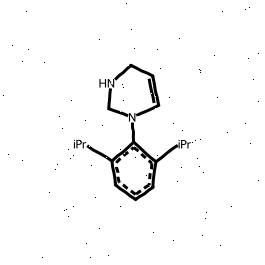 CC(C)c1cccc(C(C)C)c1N1C=CCNC1